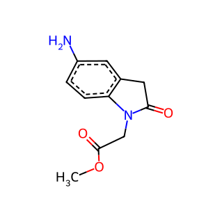 COC(=O)CN1C(=O)Cc2cc(N)ccc21